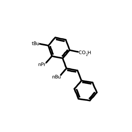 CCCCC(=Cc1ccccc1)c1c(C(=O)O)ccc(C(C)(C)C)c1CCC